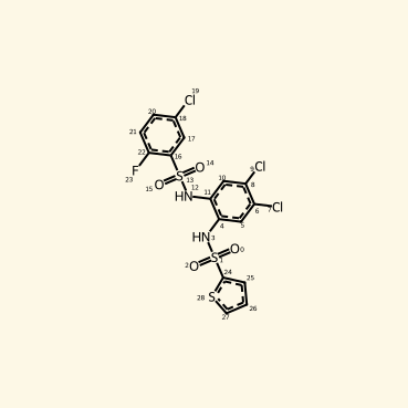 O=S(=O)(Nc1cc(Cl)c(Cl)cc1NS(=O)(=O)c1cc(Cl)ccc1F)c1cccs1